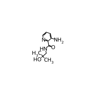 CC(C)(O)CNC(=O)c1ncccc1N